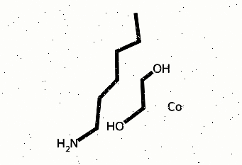 CCCCCCN.OCCO.[Co]